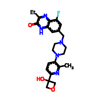 CCc1nc2c(F)cc(CN3CCN(c4ccc(C5(O)COC5)nc4C)CC3)cc2[nH]c1=O